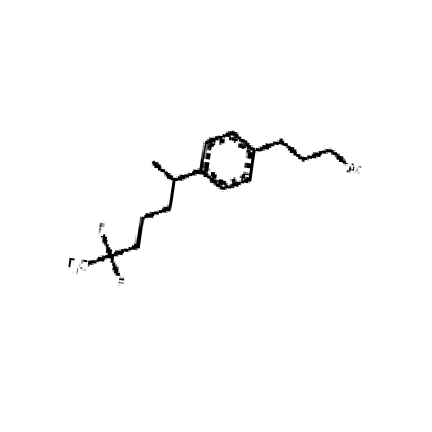 CC(=O)CCCc1ccc(C(C)CCCC(F)(F)C(F)(F)F)cc1